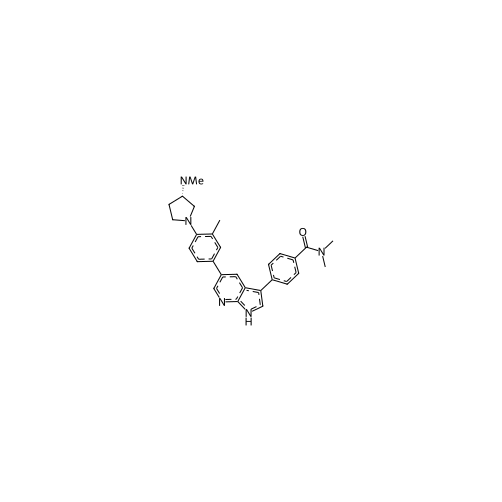 CN[C@H]1CCN(c2ccc(-c3cnc4[nH]cc(-c5ccc(C(=O)N(C)C)cc5)c4c3)cc2C)C1